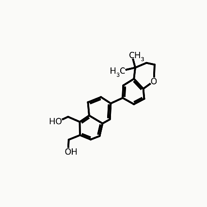 CC1(C)CCOc2ccc(-c3ccc4c(CO)c(CO)ccc4c3)cc21